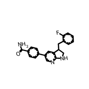 NC(=O)c1ccc(-c2cnc3c(c2)C(Cc2ccccc2F)CN3)cc1